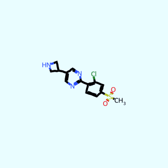 CS(=O)(=O)c1ccc(-c2ncc(C3CNC3)cn2)c(Cl)c1